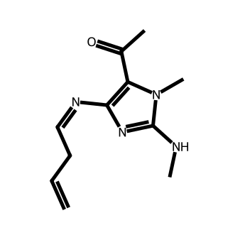 C=CC/C=N\c1nc(NC)n(C)c1C(C)=O